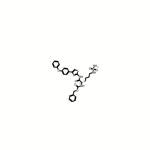 NS(=O)(=O)NCCCC[C@H](NC(=O)OCc1ccccc1)C(=O)Nc1nc(-c2ccc(Oc3ccccc3)cc2)cs1